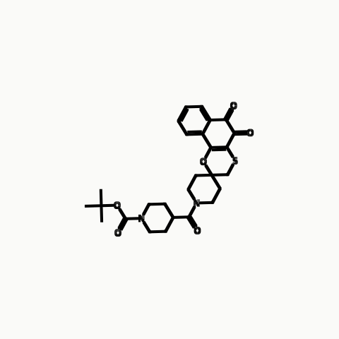 CC(C)(C)OC(=O)N1CCC(C(=O)N2CCC3(CC2)CSC2=C(O3)c3ccccc3C(=O)C2=O)CC1